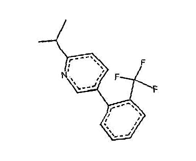 CC(C)c1ccc(-c2ccccc2C(F)(F)F)cn1